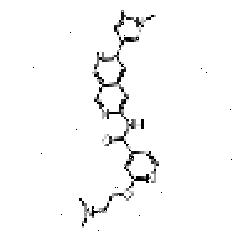 CN(C)CCOc1cc(C(=O)Nc2cc3cc(-c4cnn(C)c4)ncc3cn2)ccn1